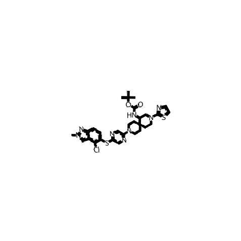 Cn1cc2c(Cl)c(Sc3cnc(N4CCC5(CC4)CCN(c4nccs4)CC5NC(=O)OC(C)(C)C)cn3)ccc2n1